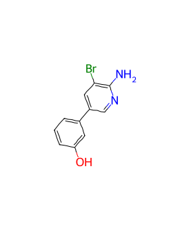 Nc1ncc(-c2cccc(O)c2)cc1Br